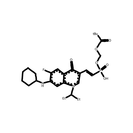 CCC(CC)n1cc(/C=C/P(=O)(O)OCOC(=O)C(C)(C)C)c(=O)c2cc(F)c(NC3CCCCC3)cc21